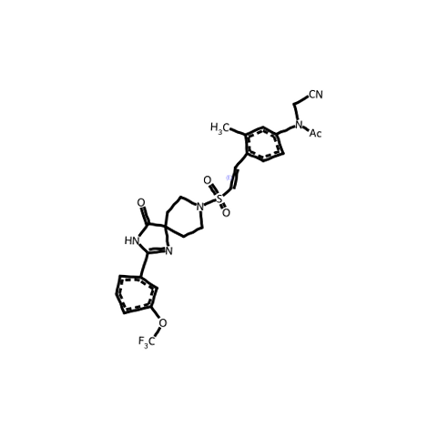 CC(=O)N(CC#N)c1ccc(/C=C/S(=O)(=O)N2CCC3(CC2)N=C(c2cccc(OC(F)(F)F)c2)NC3=O)c(C)c1